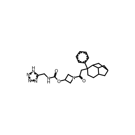 O=C(NCc1nnn[nH]1)OC1CN(C(=O)CC2(c3ccccc3)CCC3CC4CC3C2C4)C1